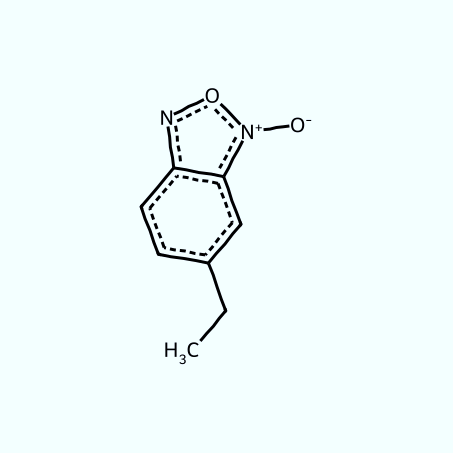 CCc1ccc2no[n+]([O-])c2c1